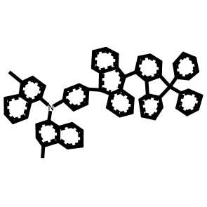 Cc1ccc(N(c2ccc(-c3c4ccccc4c(-c4cccc5c4-c4ccccc4C5(c4ccccc4)c4ccccc4)c4ccccc34)cc2)c2ccc(C)c3ccccc23)c2ccccc12